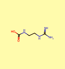 N=C(N)NCCNC(=O)O